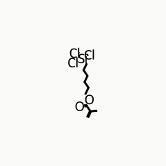 C=C(C)C(=O)OCCCCCC[Si](Cl)(Cl)Cl